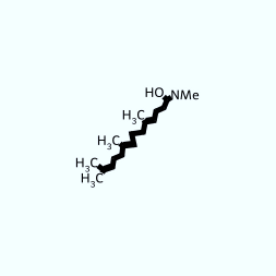 CNC(O)CC/C=C(\C)CC/C=C(\C)CCC=C(C)C